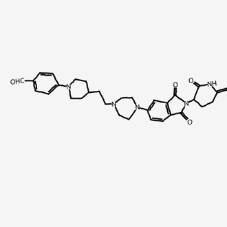 O=Cc1ccc(N2CCC(CCN3CCN(c4ccc5c(c4)C(=O)N(C4CCC(=O)NC4=O)C5=O)CC3)CC2)cc1